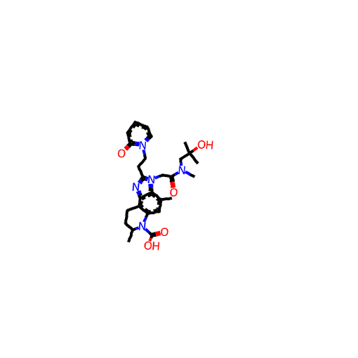 Cc1cc2c(c3nc(CCn4ccccc4=O)n(CC(=O)N(C)CC(C)(C)O)c13)CCC(C)N2C(=O)O